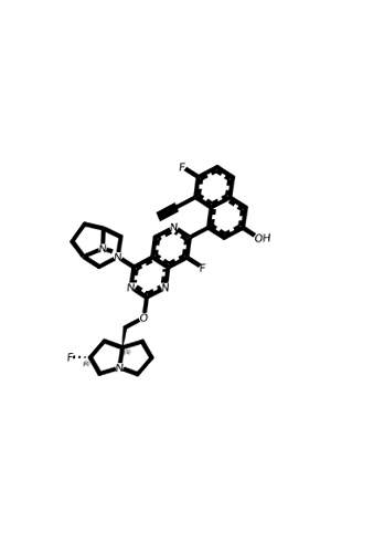 C#Cc1c(F)ccc2cc(O)cc(-c3ncc4c(N5CC6CCC(C5)N6C)nc(OC[C@@]56CCCN5C[C@H](F)C6)nc4c3F)c12